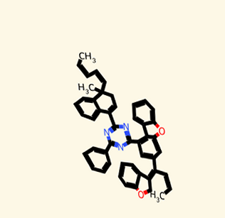 C/C=C\C=C/C1(C)CC=C(c2nc(-c3ccccc3)nc(-c3cc(C(/C=C\C)=C4/COc5ccccc54)cc4oc5ccccc5c34)n2)c2ccccc21